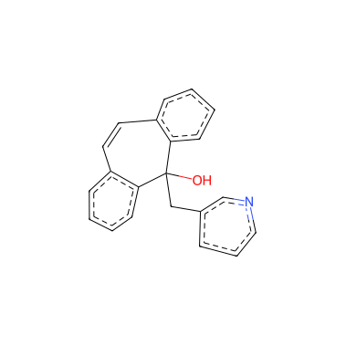 OC1(Cc2cccnc2)c2ccccc2C=Cc2ccccc21